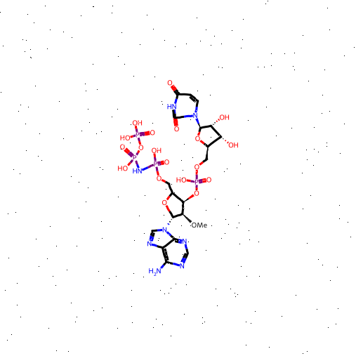 CO[C@@H]1[C@H](OP(=O)(O)OC[C@H]2O[C@@H](n3ccc(=O)[nH]c3=O)[C@H](O)[C@@H]2O)C(COP(=O)(O)NP(=O)(O)OP(=O)(O)O)O[C@H]1n1cnc2c(N)ncnc21